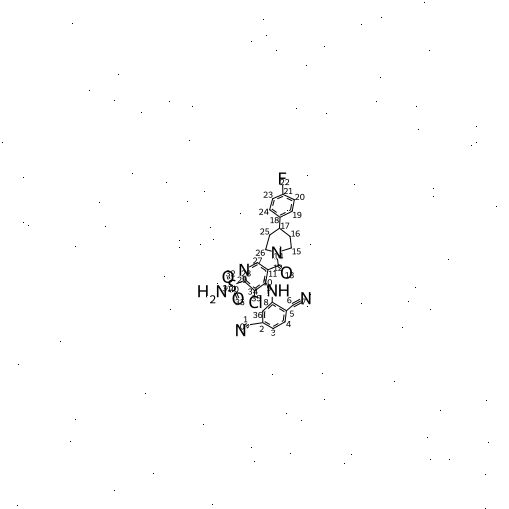 N#Cc1ccc(C#N)c(Nc2c(C(=O)N3CCC(c4ccc(F)cc4)CC3)cnc(S(N)(=O)=O)c2Cl)c1